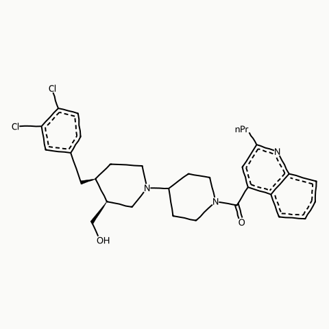 CCCc1cc(C(=O)N2CCC(N3CC[C@H](Cc4ccc(Cl)c(Cl)c4)[C@H](CO)C3)CC2)c2ccccc2n1